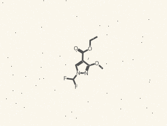 CCOC(=O)c1cn(C(F)F)nc1OC